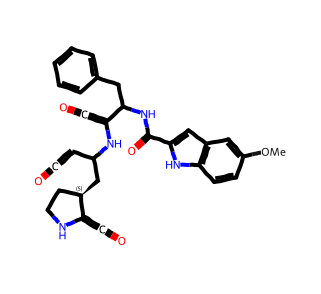 COc1ccc2[nH]c(C(=O)NC(Cc3ccccc3)C(=C=O)NC(C=C=O)C[C@@H]3CCNC3=C=O)cc2c1